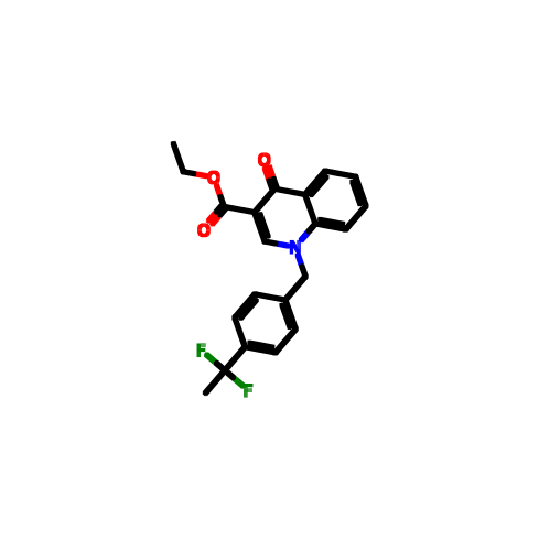 CCOC(=O)c1cn(Cc2ccc(C(C)(F)F)cc2)c2ccccc2c1=O